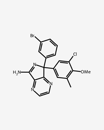 COc1c(C)cc(C2(c3cccc(Br)c3)N=C(N)c3nccnc32)cc1Cl